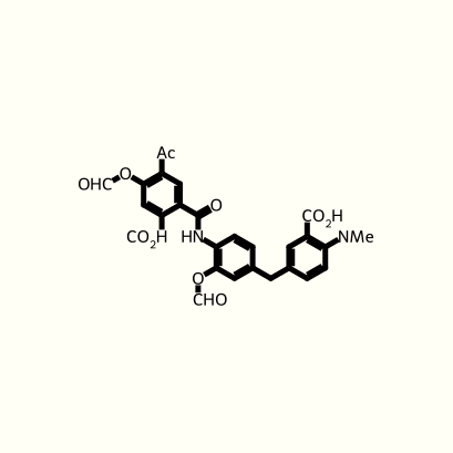 CNc1ccc(Cc2ccc(NC(=O)c3cc(C(C)=O)c(OC=O)cc3C(=O)O)c(OC=O)c2)cc1C(=O)O